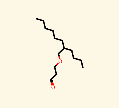 CCCCCCC(CCCC)COCCC=O